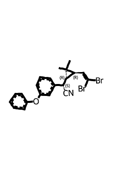 CC1(C)[C@@H]([C@H](C#N)c2cccc(Oc3ccccc3)c2)[C@@H]1C=C(Br)Br